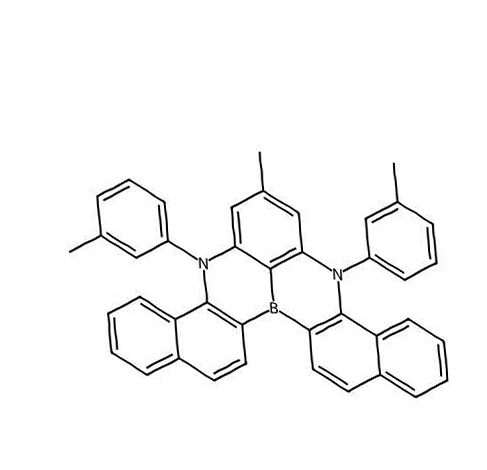 Cc1cccc(N2c3cc(C)cc4c3B(c3ccc5ccccc5c32)c2ccc3ccccc3c2N4c2cccc(C)c2)c1